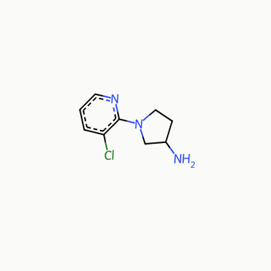 NC1CCN(c2ncccc2Cl)C1